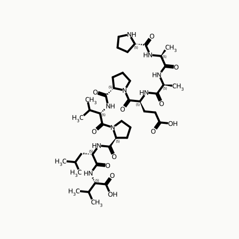 CC(C)C[C@H](NC(=O)[C@@H]1CCCN1C(=O)[C@@H](NC(=O)[C@@H]1CCCN1C(=O)[C@H](CCC(=O)O)NC(=O)[C@H](C)NC(=O)[C@H](C)NC(=O)[C@@H]1CCCN1)C(C)C)C(=O)N[C@H](C(=O)O)C(C)C